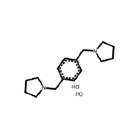 Cl.Cl.c1cc(CN2CCCC2)ccc1CN1CCCC1